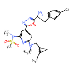 CCS(=O)(=O)N(C)c1cc(-c2nnc(C(N)Cc3ccc(C#N)cc3)o2)cc(N(C)CC2CC2C)n1